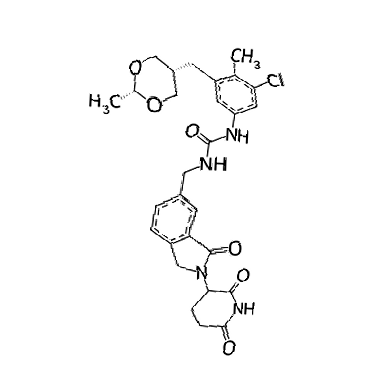 Cc1c(Cl)cc(NC(=O)NCc2ccc3c(c2)C(=O)N(C2CCC(=O)NC2=O)C3)cc1C[C@H]1CO[C@@H](C)OC1